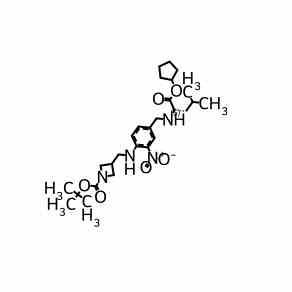 CC(C)C[C@H](NCc1ccc(NCC2CN(C(=O)OC(C)(C)C)C2)c([N+](=O)[O-])c1)C(=O)OC1CCCC1